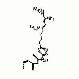 C=C(/C=C\C)CC(=C)Nc1nnc(CCCC/C(N)=C/C=C(\N)NC)s1